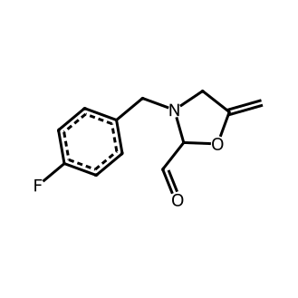 C=C1CN(Cc2ccc(F)cc2)C(C=O)O1